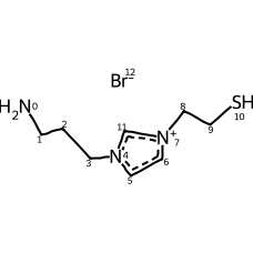 NCCCn1cc[n+](CCS)c1.[Br-]